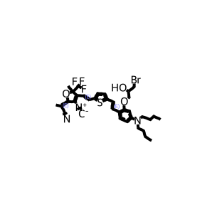 [C-]#[N+]C1=C(/C=C/c2ccc(/C=C/c3ccc(N(CCCC)CCCC)cc3OCC(O)CBr)s2)C(C)(C(F)(F)F)O/C1=C(\C)C#N